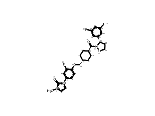 Cn1ccn(-c2ccc(OC[C@H]3CC[C@H](C(=O)N4OCC[C@H]4c4cc(F)cc(F)c4)CC3)c(F)c2)c1=O